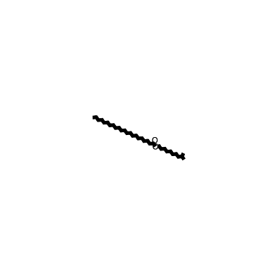 CCCCCCCCCCCCCCCCCCCCCC(=O)OCCCCCCCCC(C)C